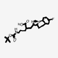 CC(C)(C)OC(=O)NCCCC(Cc1ncn2c1CCc1cc(F)ccc1-2)C(=O)O